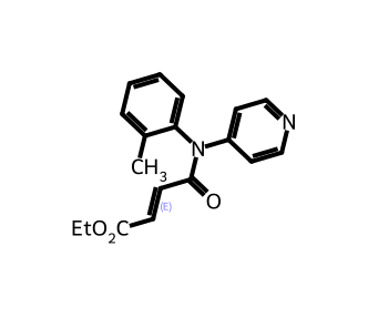 CCOC(=O)/C=C/C(=O)N(c1ccncc1)c1ccccc1C